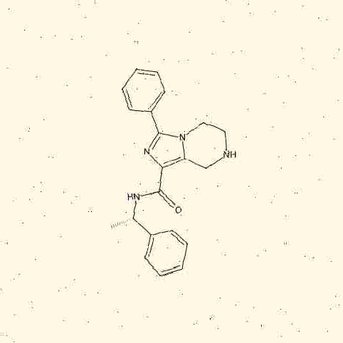 C[C@H](NC(=O)c1nc(-c2ccccc2)n2c1CNCC2)c1ccccc1